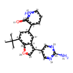 CC(C)(C)c1cc(-c2ccc[nH]c2=O)cc2c(-c3cnc(N)nc3)coc12